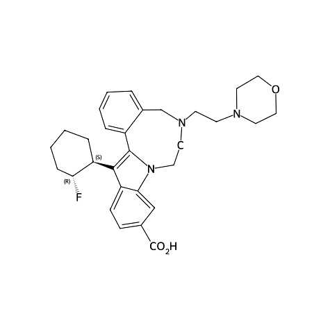 O=C(O)c1ccc2c([C@@H]3CCCC[C@H]3F)c3n(c2c1)CCN(CCN1CCOCC1)Cc1ccccc1-3